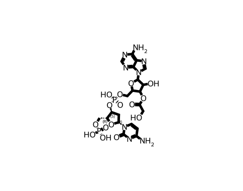 Nc1ccn([C@H]2C[C@H](OP(=O)(O)OCC3OC(n4cnc5c(N)ncnc54)C(O)C3OC(=O)CO)[C@@H](COP(=O)(O)O)O2)c(=O)n1